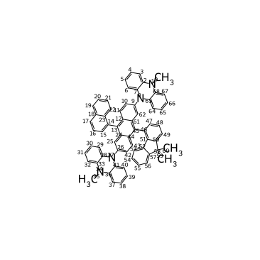 CN1c2ccccc2N(c2ccc3c(-c4cccc5ccccc45)c4cc(N5c6ccccc6N(C)c6ccccc65)ccc4c(-c4cccc5c4-c4ccccc4C5(C)C)c3c2)c2ccccc21